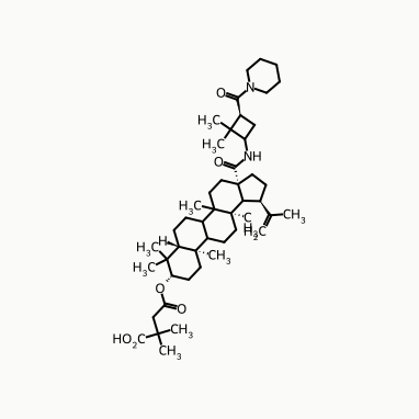 C=C(C)[C@@H]1CC[C@]2(C(=O)NC3C[C@H](C(=O)N4CCCCC4)C3(C)C)CCC3(C)C4CC[C@H]5C(C)(C)[C@@H](OC(=O)CC(C)(C)C(=O)O)CC[C@]5(C)C4CC[C@]3(C)C12